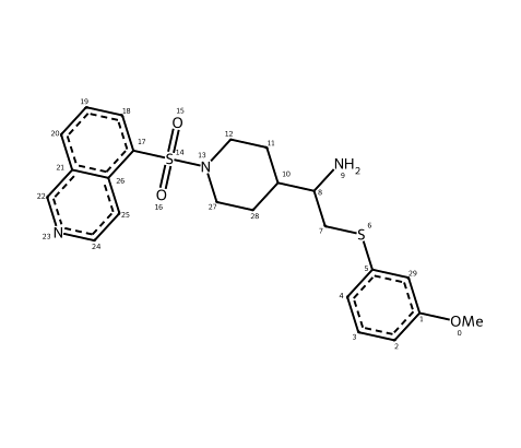 COc1cccc(SCC(N)C2CCN(S(=O)(=O)c3cccc4cnccc34)CC2)c1